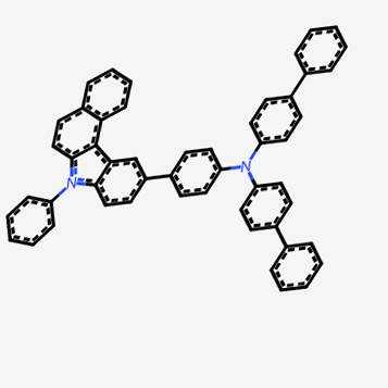 c1ccc(-c2ccc(N(c3ccc(-c4ccccc4)cc3)c3ccc(-c4ccc5c(c4)c4c6ccccc6ccc4n5-c4ccccc4)cc3)cc2)cc1